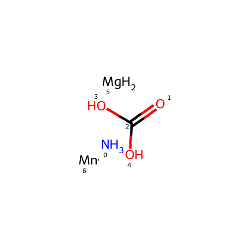 N.O=C(O)O.[MgH2].[Mn]